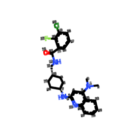 CN(C)c1cc(N[C@H]2CC[C@@H](CNC(=O)c3cccc(Cl)c3F)CC2)nc2ccccc12